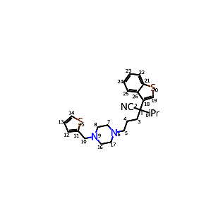 CC(C)C(C#N)(CCCN1CCN(Cc2cccs2)CC1)c1csc2ccccc12